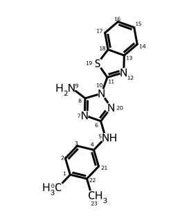 Cc1ccc(Nc2nc(N)n(-c3nc4ccccc4s3)n2)cc1C